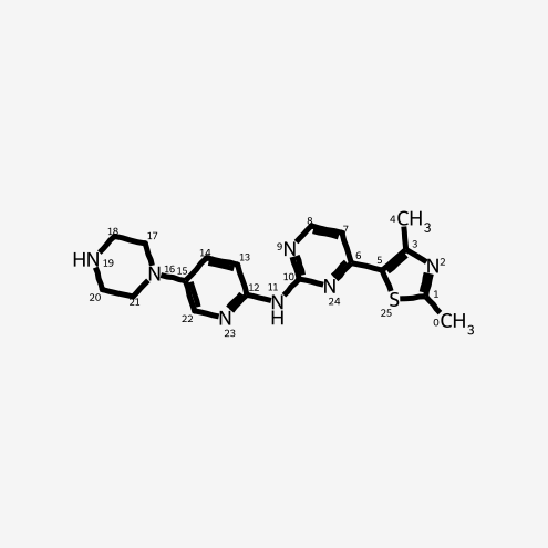 Cc1nc(C)c(-c2ccnc(Nc3ccc(N4CCNCC4)cn3)n2)s1